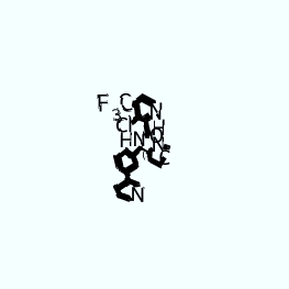 O=C(NC(c1cccc(-c2cccnc2)c1)[C@@H]1CCCCN1)c1nccc(C(F)(F)F)c1Cl